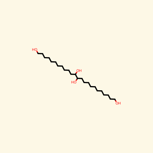 OCCCCCCCCCCCC(O)C(O)CCCCCCCCCCCO